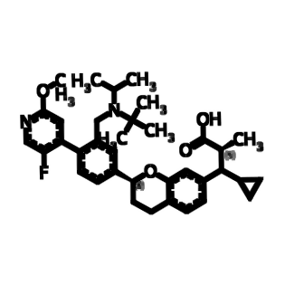 COc1cc(-c2ccc([C@@H]3CCc4ccc(C(C5CC5)[C@H](C)C(=O)O)cc4O3)cc2CN(C(C)C)C(C)(C)C)c(F)cn1